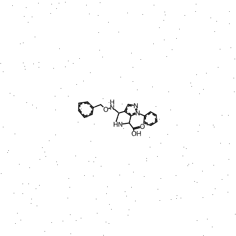 O=C(O)C1NCC(NOCc2ccccc2)c2cnn(-c3ccccc3)c21